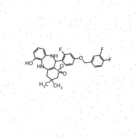 CC1(C)CC2=C(C(c3ccc(OCc4ccc(F)c(F)c4)cc3F)Nc3cccc(O)c3N2)S(=O)(=O)C1